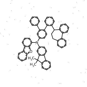 CC1(C)c2ccccc2-c2ccc(N(c3ccc(-c4ccccc4C4CCc5ccccc5-c5ccccc54)c(-c4ccccc4)c3)c3cccc4c3oc3ccccc34)cc21